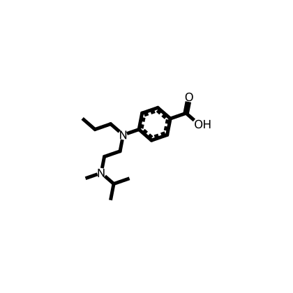 CCCN(CCN(C)C(C)C)c1ccc(C(=O)O)cc1